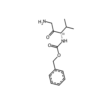 CC(C)[C@H](NC(=O)OCc1ccccc1)C(=O)CN